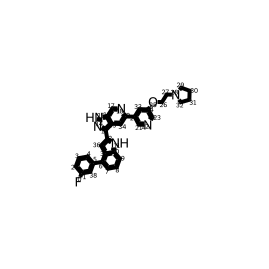 Fc1cccc(-c2cccc3[nH]c(-c4n[nH]c5cnc(-c6cncc(OCCN7CCCC7)c6)cc45)cc23)c1